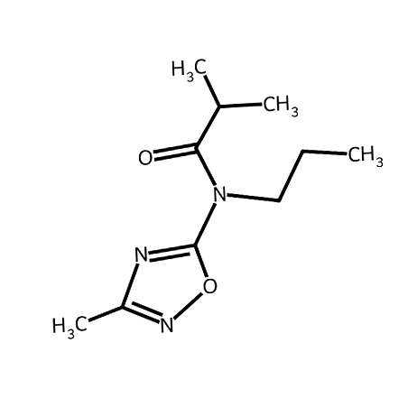 CCCN(C(=O)C(C)C)c1nc(C)no1